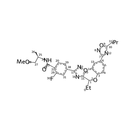 CCC(Oc1ccc(-c2noc(C(C)C)n2)cc1)c1nc(-c2ccc(C(=O)N[C@H](C)COC)c(F)c2)no1